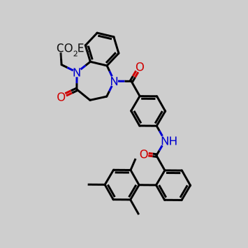 CCOC(=O)CN1C(=O)CCN(C(=O)c2ccc(NC(=O)c3ccccc3-c3c(C)cc(C)cc3C)cc2)c2ccccc21